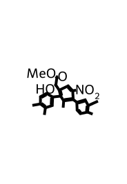 COC(=O)C(O)c1cc([N+](=O)[O-])c(-c2ccc(C)c(C)c2)c(C)c1-c1ccc(C)c(C)c1